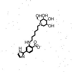 O=[N+]([O-])c1ccc(-c2ncc[nH]2)cc1NCCCCCCN1C[C@H](O)[C@@H](O)[C@H](O)[C@H]1CO